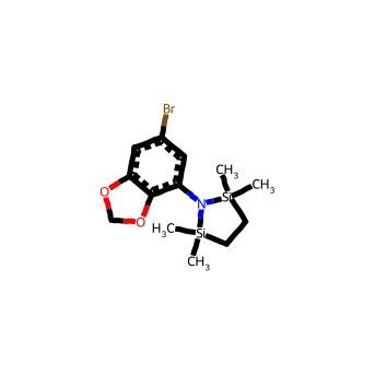 C[Si]1(C)CC[Si](C)(C)N1c1cc(Br)cc2c1OCO2